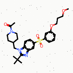 COCCCOc1cccc(S(=O)(=O)c2ccc3c(c2)nc(C(C)(C)C)n3CC2CCN(C(C)=O)CC2)c1